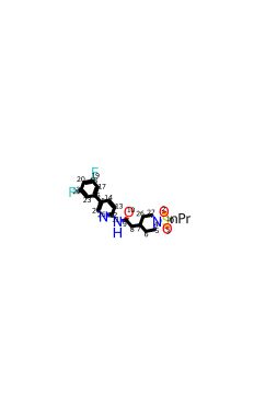 CCCS(=O)(=O)N1CCC(CC(=O)Nc2ccc(-c3cc(F)cc(F)c3)cn2)CC1